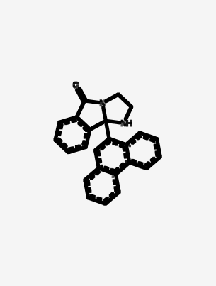 O=C1c2ccccc2C2(c3cc4ccccc4c4ccccc34)NCCN12